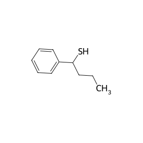 CCCC(S)c1ccccc1